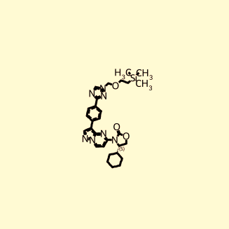 C[Si](C)(C)CCOCn1cnc(-c2ccc(-c3cnn4ccc(N5C(=O)OC[C@@H]5C5CCCCC5)nc34)cc2)n1